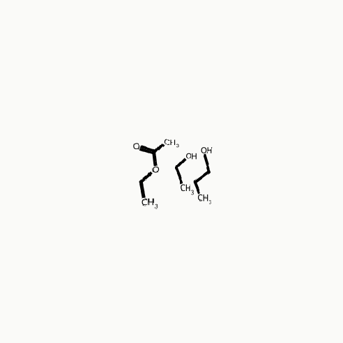 CCCO.CCO.CCOC(C)=O